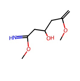 C=C(CC(O)CC(=N)OC)OC